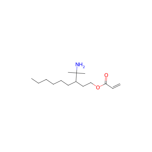 C=CC(=O)OCCC(CCCCCC)C(C)(C)N